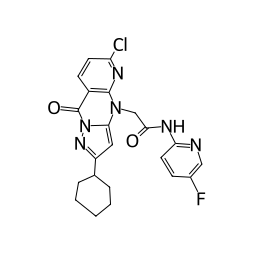 O=C(Cn1c2nc(Cl)ccc2c(=O)n2nc(C3CCCCC3)cc12)Nc1ccc(F)cn1